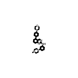 CN1CCN(c2cccc(Nc3ncc4c(-c5ccc(N6CCOCC6)cc5)cccc4n3)c2)CC1